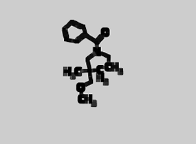 CCN(CC(C)(C)COC)C(=O)c1ccccc1